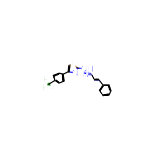 FC(F)(F)c1ccc(-c2csc(N/N=C/C=C/c3ccccc3)n2)cc1